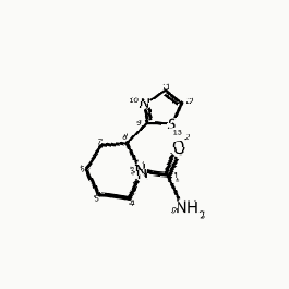 NC(=O)N1CCCCC1c1nccs1